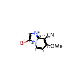 COc1ccn2c(Br)cnc2c1C#N